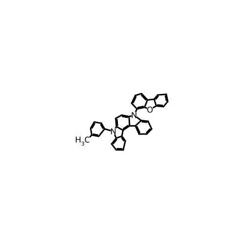 Cc1cccc(-n2c3ccccc3c3c4c5ccccc5n(-c5cccc6c5oc5ccccc56)c4ccc32)c1